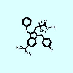 COC(=O)C(C)(C)Cc1c(Sc2ccccc2)c2cc(C(C)C)ccc2n1Cc1ccc(Cl)cc1